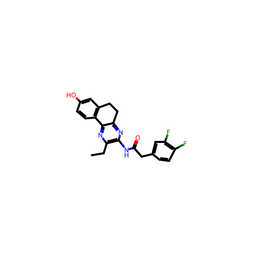 CCc1nc2c(nc1NC(=O)Cc1ccc(F)c(F)c1)CCc1cc(O)ccc1-2